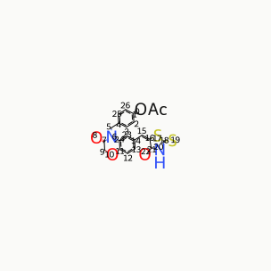 CC(=O)Oc1ccc(CN2C(=O)COc3ccc(/C=C4/SC(=S)NC4=O)cc32)cc1